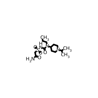 CCCN(C(=O)NS(=O)(=O)CC(N)=O)C1CCN(C(C)C)CC1